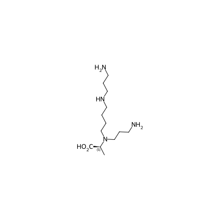 C[C@@H](C(=O)O)N(CCCN)CCCCNCCCN